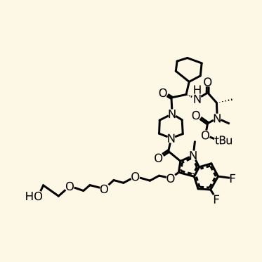 C[C@@H](C(=O)N[C@H](C(=O)N1CCN(C(=O)c2c(OCCOCCOCCOCCO)c3cc(F)c(F)cc3n2C)CC1)C1CCCCC1)N(C)C(=O)OC(C)(C)C